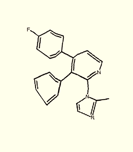 Cc1nccn1-c1nccc(-c2ccc(F)cc2)c1-c1ccccc1